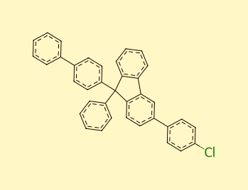 Clc1ccc(-c2ccc3c(c2)-c2ccccc2C3(c2ccccc2)c2ccc(-c3ccccc3)cc2)cc1